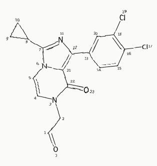 O=CCn1ccn2c(C3CC3)nc(-c3ccc(Cl)c(Cl)c3)c2c1=O